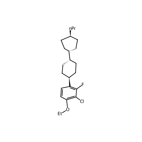 CCC[C@H]1CC[C@H]([C@H]2CC[C@H](c3ccc(OCC)c(Cl)c3F)CC2)CC1